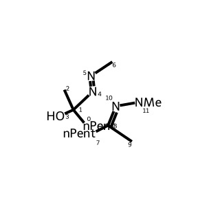 CCCCCC(C)(O)N=NC.CCCCCC(C)=NNC